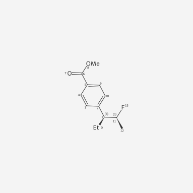 CC[C@@H](c1ccc(C(=O)OC)cc1)[C@H](C)F